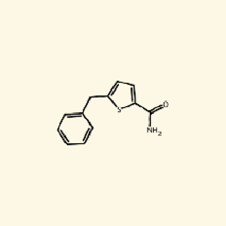 NC(=O)c1ccc(Cc2ccccc2)s1